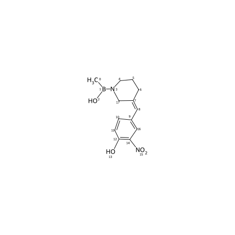 CB(O)N1CCCC(=Cc2ccc(O)c([N+](=O)[O-])c2)C1